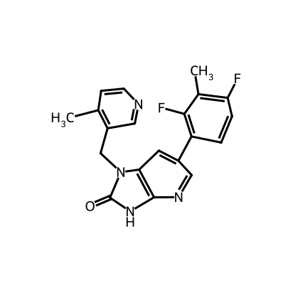 Cc1ccncc1Cn1c(=O)[nH]c2ncc(-c3ccc(F)c(C)c3F)cc21